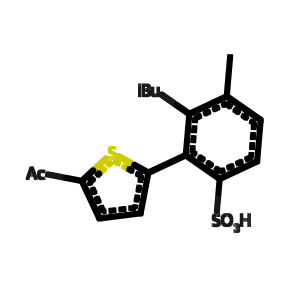 CCC(C)c1c(C)ccc(S(=O)(=O)O)c1-c1ccc(C(C)=O)s1